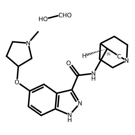 CN1CCC(Oc2ccc3[nH]nc(C(=O)N[C@@H]4CN5CCC4CC5)c3c2)C1.O=CO